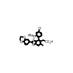 Cc1cc2nc(-c3ccc4c(c3)OCCO4)sc2c(-c2ccc(Cl)cc2OC(C)(C)C)c1CC(=O)O